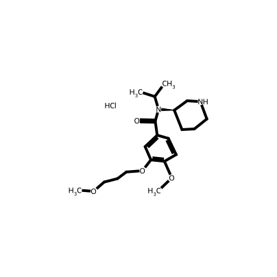 COCCCOc1cc(C(=O)N(C(C)C)[C@@H]2CCCNC2)ccc1OC.Cl